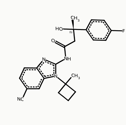 CC1(n2c(NC(=O)C[C@](C)(O)c3ccc(F)cc3)nc3ccc(C#N)cc32)CCC1